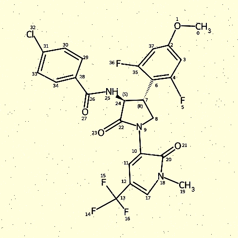 COc1cc(F)c([C@@H]2CN(c3cc(C(F)(F)F)cn(C)c3=O)C(=O)[C@H]2NC(=O)c2ccc(Cl)cc2)c(F)c1